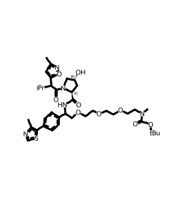 Cc1cc(C(C(=O)N2C[C@H](O)C[C@H]2C(=O)NC(COCCOCCOCCN(C)C(=O)OC(C)(C)C)c2ccc(-c3scnc3C)cc2)C(C)C)on1